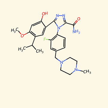 COc1cc(O)c(-c2nnc(C(N)=O)n2-c2ccc(CN3CCN(C)CC3)cc2F)cc1C(C)C